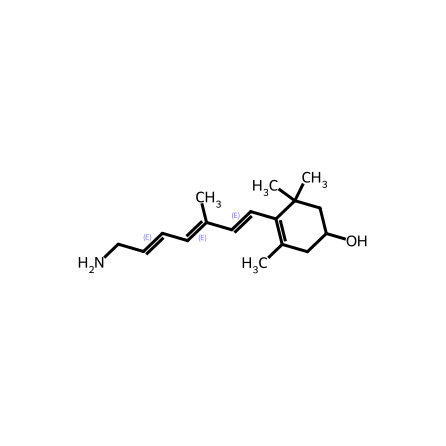 CC1=C(/C=C/C(C)=C/C=C/CN)C(C)(C)CC(O)C1